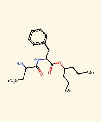 CC(C)(C)CCC(CCC(C)(C)C)OC(=O)C(Cc1ccccc1)NC(=O)C(N)CC(=O)O